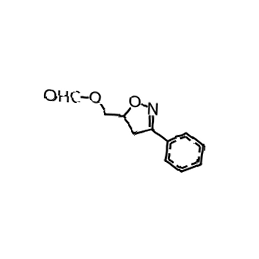 O=COCC1CC(c2ccccc2)=NO1